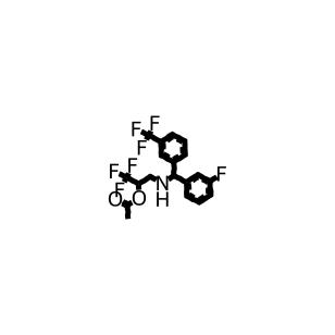 CC(=O)OC(CNC(c1cccc(F)c1)c1cccc(C(F)(F)F)c1)C(F)(F)F